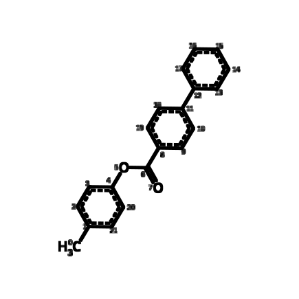 Cc1ccc(OC(=O)c2ccc(-c3ccccc3)cc2)cc1